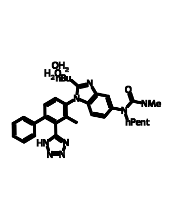 CCCCCN(C(=O)NC)c1ccc2c(c1)nc(CCCC)n2-c1ccc(-c2ccccc2)c(-c2nnn[nH]2)c1C.O.O